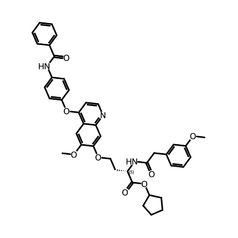 COc1cccc(CC(=O)N[C@@H](CCOc2cc3nccc(Oc4ccc(NC(=O)c5ccccc5)cc4)c3cc2OC)C(=O)OC2CCCC2)c1